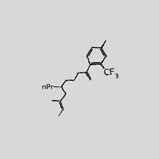 C=C(CCCC(CCC)C/C(C)=C/C)c1ccc(C)cc1C(F)(F)F